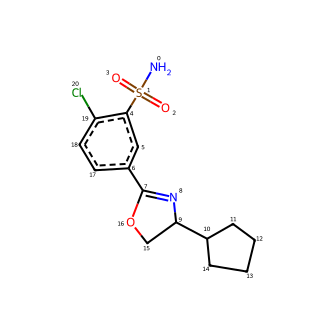 NS(=O)(=O)c1cc(C2=NC(C3CCCC3)CO2)ccc1Cl